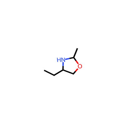 CCC1COC(C)N1